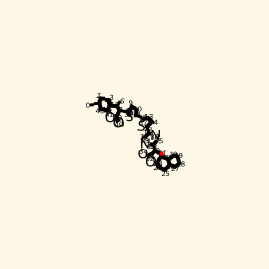 Cc1ccc2c(C)c(-c3ccc(-c4ccc(-c5cnc(-c6cc7c(ccc8ccccc87)oc6=O)cn5)s4)s3)c(=O)oc2c1